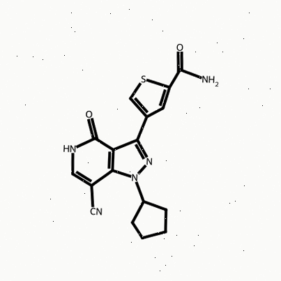 N#Cc1c[nH]c(=O)c2c(-c3csc(C(N)=O)c3)nn(C3CCCC3)c12